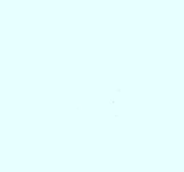 FC(F)(F)Oc1cc(CCl)ccc1Br